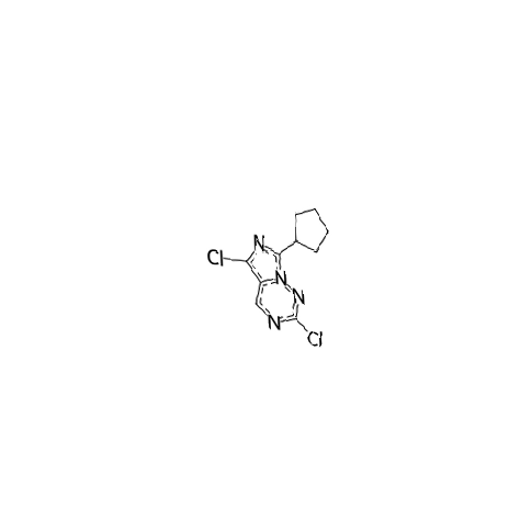 Clc1ncc2c(Cl)nc(C3CCCC3)n2n1